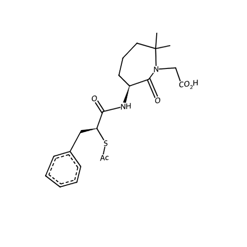 CC(=O)S[C@@H](Cc1ccccc1)C(=O)N[C@H]1CCCC(C)(C)N(CC(=O)O)C1=O